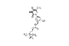 Cc1cn([C@H]2C[C@H](O)[C@@H](COC(=O)OCC[Si](C)(C)C)O2)c(=O)[nH]c1=O